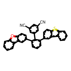 N#Cc1cc(C#N)cc(-c2c(-c3ccc4oc5ccccc5c4c3)cccc2-c2ccc3sc4ccccc4c3c2)c1